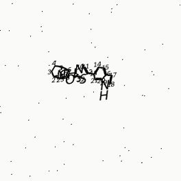 CN1C2CCC1CC(Oc1ncc(-c3ccc4cc[nH]c4c3)s1)C2